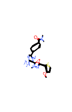 COc1ccsc1C1=NN(C)C(c2nc(-c3ccc(C(=O)N(C)C)cc3)cnc2N)O1